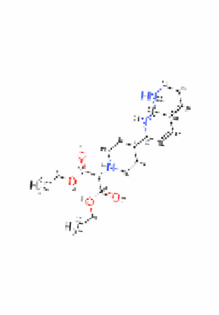 CCOC(=O)C(C(=O)OCC)N1CCC(C2C=CC3=CCCNC3=N2)CC1